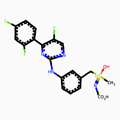 C[SH](O)(Cc1cccc(Nc2ncc(F)c(-c3ccc(F)cc3F)n2)c1)=NC(=O)O